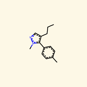 CCCc1cnn(C)c1-c1ccc(C)cc1